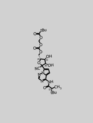 C[C@H](C(=O)Nc1ncnn2c([C@]3(C#N)O[C@H](COC(=O)OCOC(=O)C(C)(C)C)[C@@H](O)[C@H]3O)ccc12)C(C)(C)C